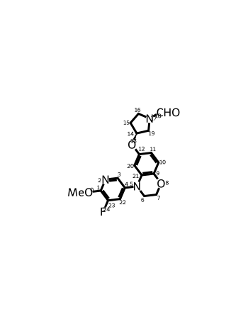 COc1ncc(N2CCOc3ccc(O[C@H]4CCN(C=O)C4)cc32)cc1F